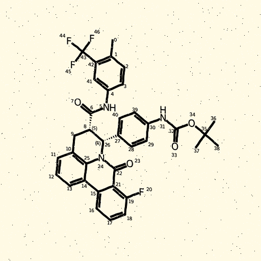 Cc1ccc(NC(=O)[C@H]2Cc3cccc4c5cccc(F)c5c(=O)n(c34)[C@H]2c2ccc(NC(=O)OC(C)(C)C)cc2)cc1C(F)(F)F